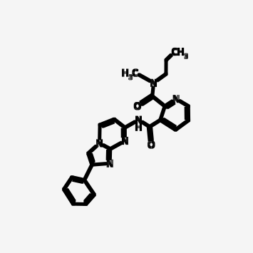 CCCN(C)C(=O)c1ncccc1C(=O)Nc1ccn2cc(-c3ccccc3)nc2n1